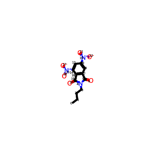 CCCCN1C(=O)c2cc([N+](=O)[O-])cc([N+](=O)[O-])c2C1=O